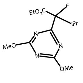 CCOC(=O)C(F)(c1nc(OC)nc(OC)n1)C(C)C